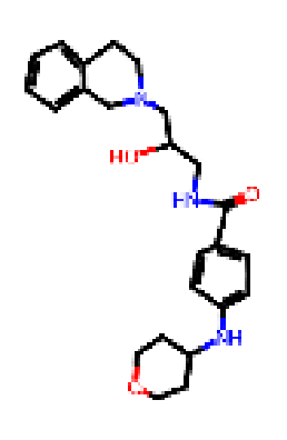 O=C(NCC(O)CN1CCc2ccccc2C1)c1ccc(NC2CCOCC2)cc1